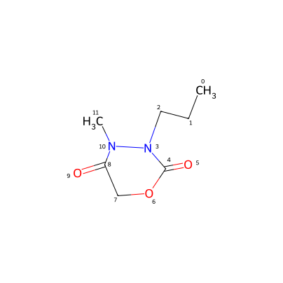 CCCN1C(=O)OCC(=O)N1C